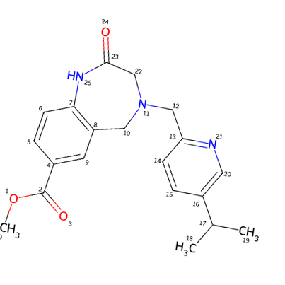 COC(=O)c1ccc2c(c1)CN(Cc1ccc(C(C)C)cn1)CC(=O)N2